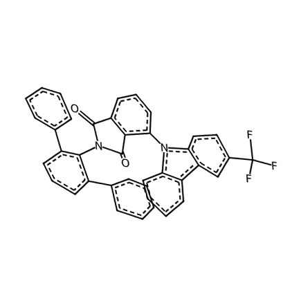 O=C1c2cccc(-n3c4ccccc4c4cc(C(F)(F)F)ccc43)c2C(=O)N1c1c(-c2ccccc2)cccc1-c1ccccc1